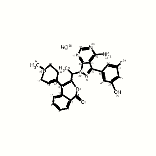 CC(c1oc(=O)c2ccccc2c1C1=CCN(C)CC1)n1nc(-c2cc(O)cc(F)c2)c2c(N)ncnc21.Cl